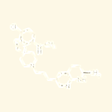 C=CC1(c2cc(Cl)ccc2NC)CCN(CCCc2cnc3c(c2)CCC(=C)N3)CC1